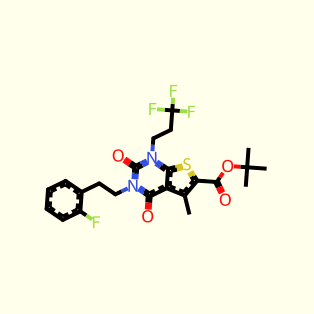 Cc1c(C(=O)OC(C)(C)C)sc2c1c(=O)n(CCc1ccccc1F)c(=O)n2CCC(F)(F)F